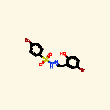 O=S(=O)(N/N=C/c1cc(Br)ccc1O)c1ccc(Br)cc1